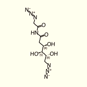 [N-]=[N+]=NCC(=O)NC(=O)C[C@@H](O)[C@H](O)[C@H](O)CN=[N+]=[N-]